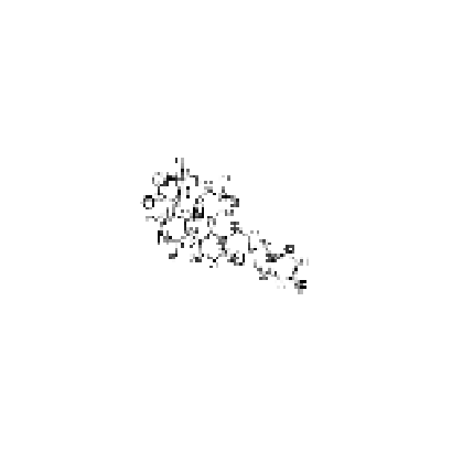 Cc1nc(C)c([C@H](OC(C)(C)C)C(=O)O)c(N2CCC(C)(C)CC2)c1-c1ccc2c(c1)CC[C@@](C)(Cc1ccc(F)cc1)O2